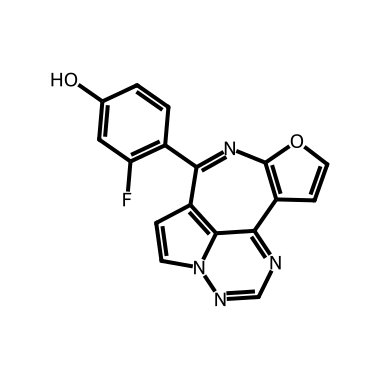 Oc1ccc(C2=Nc3occc3-c3ncnn4ccc2c34)c(F)c1